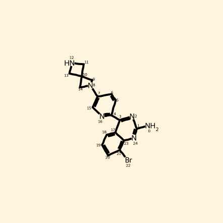 Nc1nc(-c2ccc(N3CC4(CNC4)C3)cn2)c2cccc(Br)c2n1